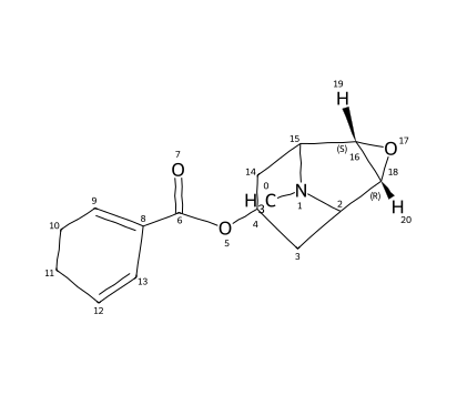 CN1C2CC(OC(=O)C3=CCCC=C3)CC1[C@@H]1O[C@H]21